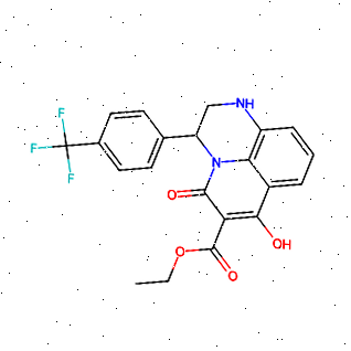 CCOC(=O)c1c(O)c2cccc3c2n(c1=O)C(c1ccc(C(F)(F)F)cc1)CN3